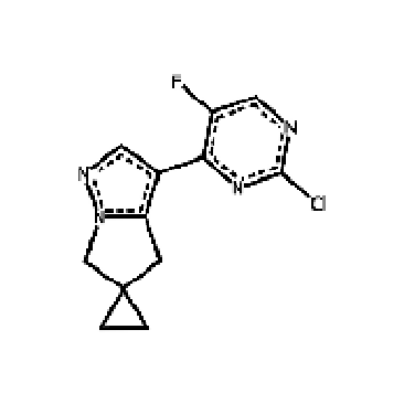 Fc1cnc(Cl)nc1-c1cnn2c1CC1(CC1)C2